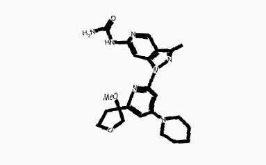 COC1(c2cc(N3CCCCC3)cc(-n3nc(C)c4cnc(NC(N)=O)cc43)n2)CCOC1